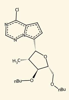 CCCCOC[C@H]1O[C@@H](c2ccc3c(Cl)ncnn23)[C@@H](C)[C@@H]1OCCCC